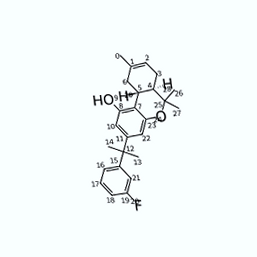 CC1=CC[C@@H]2[C@@H](C1)c1c(O)cc(C(C)(C)c3cccc(F)c3)cc1OC2(C)C